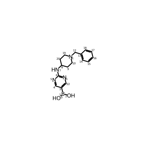 OB(O)c1cnc(NC2CCN(Cc3ccccc3)CC2)nc1